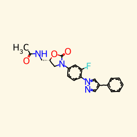 CC(=O)NC[C@H]1CN(c2ccc(-n3cc(-c4ccccc4)cn3)c(F)c2)C(=O)O1